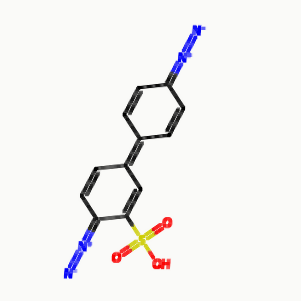 [N-]=[N+]=C1C=CC(=C2C=CC(=[N+]=[N-])C(S(=O)(=O)O)=C2)C=C1